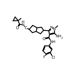 Cn1nc(C2CC3CC(CNC(=O)C4(C)CC4)CC3C2)c(C(=O)Nc2ccc(F)c(Cl)c2)c1N